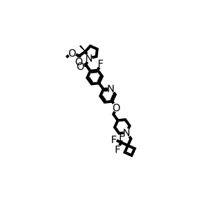 COC(=O)[C@]1(C)CCCN1C(=O)c1ccc(-c2ccc(OCC3CCN(CC4(C(F)(F)F)CCC4)CC3)cn2)cc1F